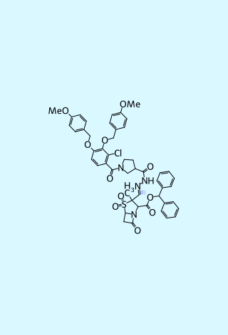 COc1ccc(COc2ccc(C(=O)N3CCC(C(=O)N/N=C/C4(C)C(C(=O)OC(c5ccccc5)c5ccccc5)N5C(=O)CC5S4(=O)=O)C3)c(Cl)c2OCc2ccc(OC)cc2)cc1